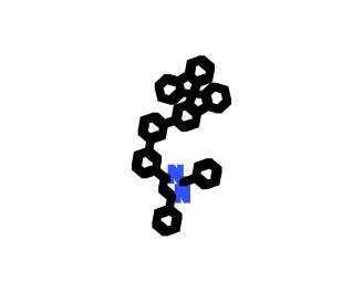 C1=C2C(=CCC1)C1(C3=C(CCCC3)c3ccc(-c4cccc(-c5cccc(-c6cc(-c7ccccc7)nc(-c7ccccc7)n6)c5)c4)cc31)c1ccccc12